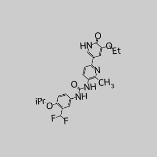 CCOc1cc(-c2ccc(NC(=O)Nc3ccc(OC(C)C)c(C(F)F)c3)c(C)n2)c[nH]c1=O